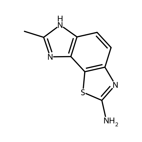 Cc1nc2c(ccc3nc(N)sc32)[nH]1